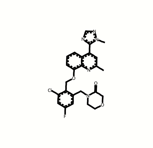 Cc1cc(-c2ncnn2C)c2cccc(OCc3c(Cl)cc(F)cc3CN3CCOCC3=O)c2n1